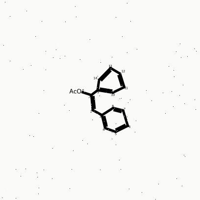 CC(=O)OC(=Cc1ccccc1)c1ccccc1